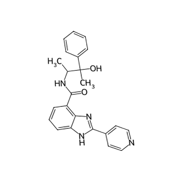 CC(NC(=O)c1cccc2[nH]c(-c3ccncc3)nc12)C(C)(O)c1ccccc1